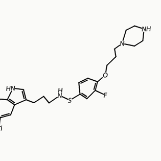 Fc1cc(SNCCCc2c[nH]c3ccc(Cl)cc23)ccc1OCCCN1CCNCC1